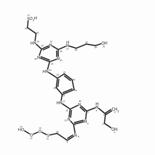 C=C(CO)Nc1nc(/N=C\CSOOO)nc(Nc2cccc(Nc3nc(NCCCO)nc(NCCS(=O)(=O)O)n3)c2)n1